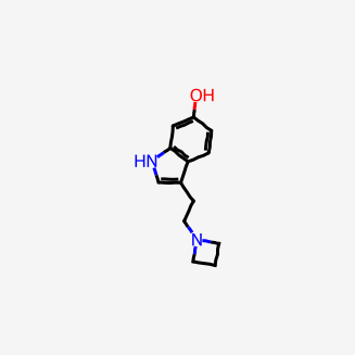 Oc1ccc2c(CCN3CCC3)c[nH]c2c1